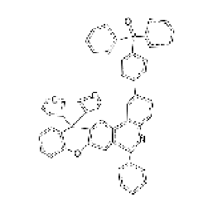 O=P(c1ccccc1)(c1ccccc1)c1ccc(-c2ccc3nc(-c4ccccc4)c4cc5c(cc4c3c2)C2(c3ccccc3O5)c3ccccc3-c3ccccc32)cc1